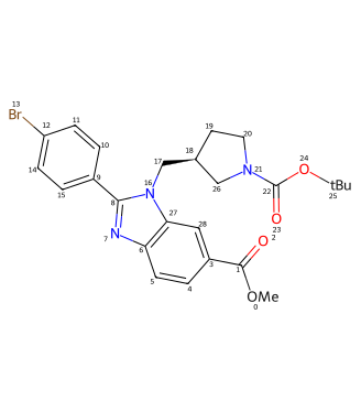 COC(=O)c1ccc2nc(-c3ccc(Br)cc3)n(C[C@H]3CCN(C(=O)OC(C)(C)C)C3)c2c1